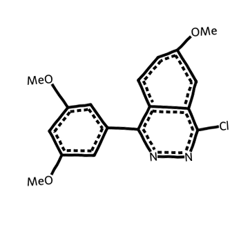 COc1cc(OC)cc(-c2nnc(Cl)c3cc(OC)ccc23)c1